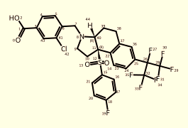 O=C(O)c1ccc(CN2CC[C@@]3(S(=O)(=O)c4ccc(F)cc4)c4ccc(C(F)(C(F)(F)F)C(F)(F)F)cc4CC[C@@H]23)c(Cl)c1